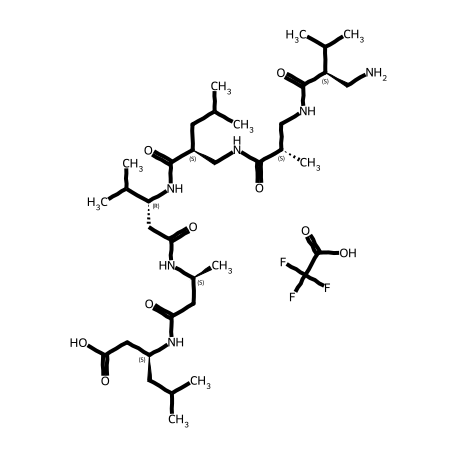 CC(C)C[C@@H](CC(=O)O)NC(=O)C[C@H](C)NC(=O)C[C@@H](NC(=O)[C@H](CNC(=O)[C@@H](C)CNC(=O)[C@H](CN)C(C)C)CC(C)C)C(C)C.O=C(O)C(F)(F)F